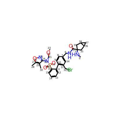 CNC1(C(=O)NCc2ccc(-c3ccccc3S(=O)(=O)N(COC)c3noc(C)c3C)c(CBr)c2)CC2CC2C1